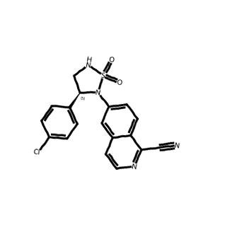 N#Cc1nccc2cc(N3[C@@H](c4ccc(Cl)cc4)CNS3(=O)=O)ccc12